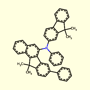 CC1(C)c2ccccc2-c2ccc(N(c3ccccc3)c3cc4ccccc4c4c3-c3cc(-c5ccccc5)ccc3C4(C)C)cc21